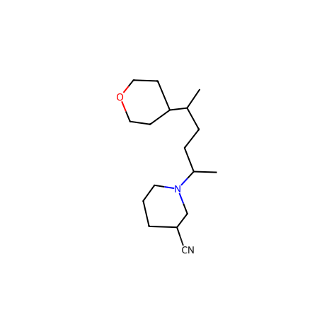 CC(CCC(C)N1CCCC(C#N)C1)C1CCOCC1